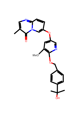 COc1cc(Oc2ccc3ncc(C)c(=O)n3c2)cnc1OCc1ccc(C(C)(C)O)cc1